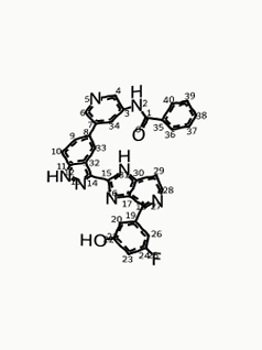 O=C(Nc1cncc(-c2ccc3[nH]nc(-c4nc5c(-c6cc(O)cc(F)c6)nccc5[nH]4)c3c2)c1)c1ccccc1